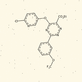 CCOC(=O)c1nnc(-c2cccc(OC(F)(F)F)c2)nc1Oc1ccc(Cl)nc1